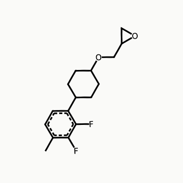 Cc1ccc(C2CCC(OCC3CO3)CC2)c(F)c1F